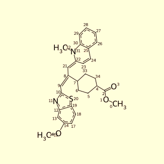 COC(=O)C1CCC(C(=C\c2nc3cc(OC)ccc3s2)/C=C2\C=Cc3ccccc3N2C)CC1